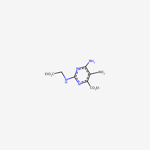 CCOC(=O)CNc1nc(N)c([N+](=O)[O-])c(C(=O)OCC)n1